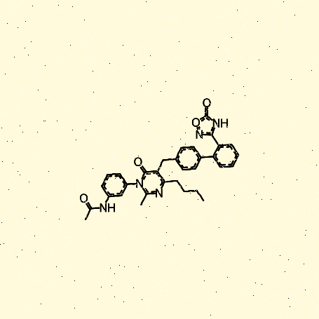 CCCCc1nc(C)n(-c2cccc(NC(C)=O)c2)c(=O)c1Cc1ccc(-c2ccccc2-c2noc(=O)[nH]2)cc1